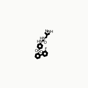 O=C(NCc1cn[nH]c1)Nc1ccc(S(=O)(=O)c2ccccc2-c2cccc(F)c2)cc1